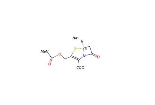 CNC(=O)OCC1=C(C(=O)[O-])N2C(=O)C[C@@H]2S1.[Na+]